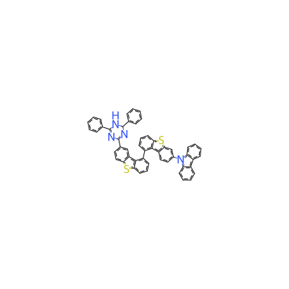 c1ccc(C2=NC(c3ccc4sc5cccc(-c6cccc7sc8cc(-n9c%10ccccc%10c%10ccccc%109)ccc8c67)c5c4c3)=NC(c3ccccc3)N2)cc1